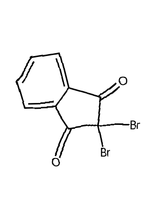 O=C1c2ccccc2C(=O)C1(Br)Br